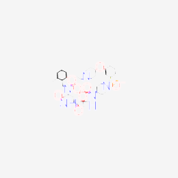 CNC(=O)C(CCC=O)N(C=O)Cc1c(C)cccc1OCCN1CCC(OC2=CC([S+]([O-])N3CCC(NC(=O)OC(C)(C)C)CC3)CCC2)CC1